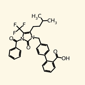 CC(C)CCc1c(C(F)(F)F)n(C(=O)c2ccccc2)c(=O)n1Cc1ccc(-c2ccccc2C(=O)O)cc1